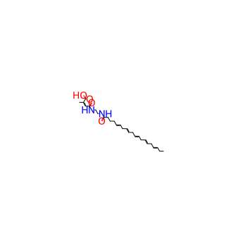 CCC=CCC=CCC=CCC=CCC=CCCCC(=O)NCCNC(=O)C=C(C)C(=O)O